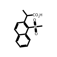 CC(C(=O)O)c1ccc2ccccc2c1S(C)(=O)=O